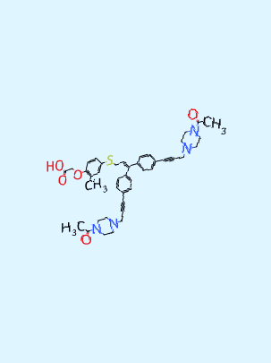 CC(=O)N1CCN(CC#Cc2ccc(C(=CCSc3ccc(OCC(=O)O)c(C)c3)c3ccc(C#CCN4CCN(C(C)=O)CC4)cc3)cc2)CC1